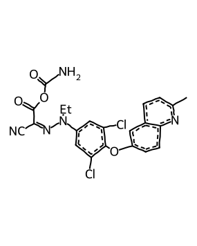 CCN(N=C(C#N)C(=O)OC(N)=O)c1cc(Cl)c(Oc2ccc3nc(C)ccc3c2)c(Cl)c1